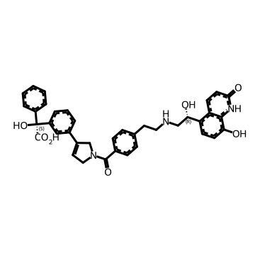 O=C(c1ccc(CCNC[C@H](O)c2ccc(O)c3[nH]c(=O)ccc23)cc1)N1CC=C(c2cccc([C@](O)(C(=O)O)c3ccccc3)c2)C1